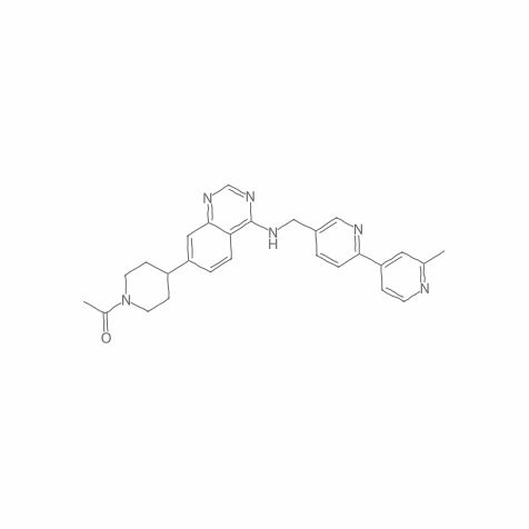 CC(=O)N1CCC(c2ccc3c(NCc4ccc(-c5ccnc(C)c5)nc4)ncnc3c2)CC1